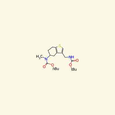 CCCCOC(=O)N(C)C1CCc2scc(CNC(=O)OC(C)(C)C)c2C1